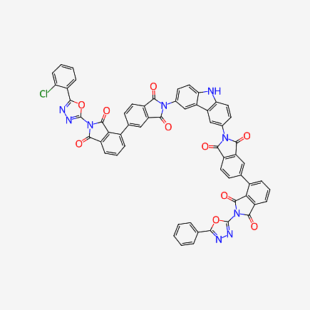 O=C1c2ccc(-c3cccc4c3C(=O)N(c3nnc(-c5ccccc5)o3)C4=O)cc2C(=O)N1c1ccc2[nH]c3ccc(N4C(=O)c5ccc(-c6cccc7c6C(=O)N(c6nnc(-c8ccccc8Cl)o6)C7=O)cc5C4=O)cc3c2c1